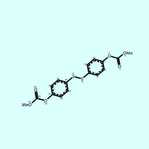 COC(=O)Oc1ccc(SSc2ccc(OC(=O)OC)cc2)cc1